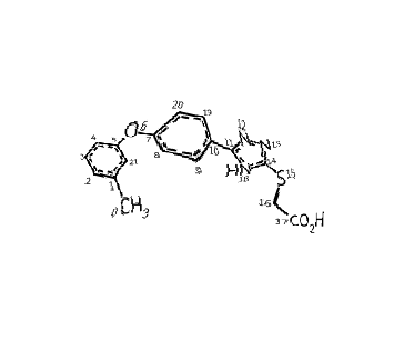 Cc1cccc(Oc2ccc(-c3nnc(SCC(=O)O)[nH]3)cc2)c1